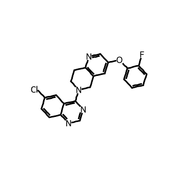 Fc1ccccc1Oc1cnc2c(c1)CN(c1ncnc3ccc(Cl)cc13)CC2